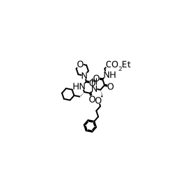 CCOC(=O)CNC(=O)C(=O)[C@H](COCCCc1ccccc1)NC(=O)[C@H](CC1CCCCC1)NC(=O)N1CCOCC1